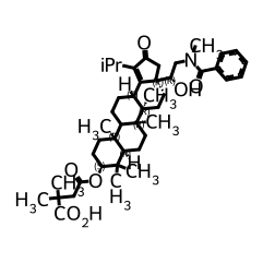 CC(C)C1=C2[C@H]3CCC4[C@@]5(C)CC[C@H](OC(=O)CC(C)(C)C(=O)O)C(C)(C)[C@@H]5CC[C@@]4(C)[C@]3(C)CC[C@@]2([C@@H](O)CN(C)C(=O)c2ccccc2)CC1=O